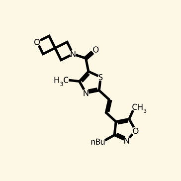 CCCCc1noc(C)c1C=Cc1nc(C)c(C(=O)N2CC3(COC3)C2)s1